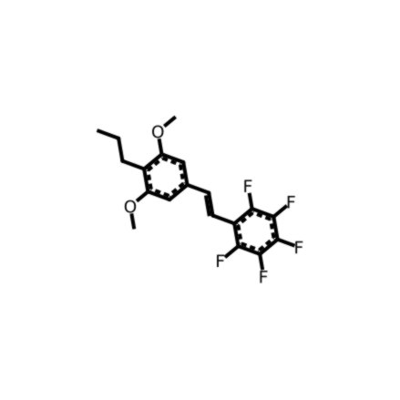 CCCc1c(OC)cc(C=Cc2c(F)c(F)c(F)c(F)c2F)cc1OC